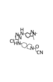 Cc1c2ccc(Nc3ncc(Cl)c(NC4CCC5(CC4)CCN(C(=O)CC#N)CC5)n3)cc2nn1C